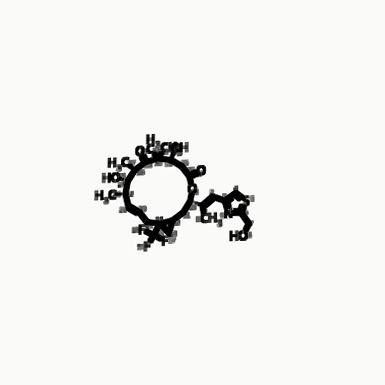 C/C(=C\c1csc(CO)n1)[C@@H]1CC2CC2(C(F)(F)F)C/C=C/[C@H](C)[C@H](O)[C@@H](C)C(=O)C(C)(C)[C@@H](O)CC(=O)O1